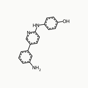 Nc1cccc(-c2ccc(Nc3ccc(O)cc3)nc2)c1